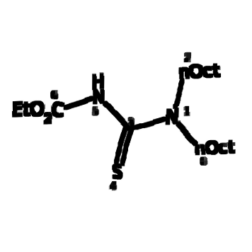 CCCCCCCCN(CCCCCCCC)C(=S)NC(=O)OCC